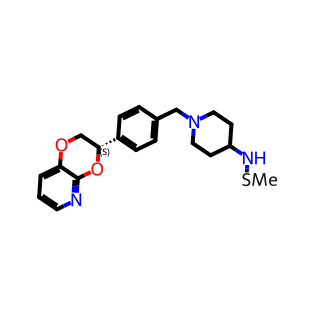 CSNC1CCN(Cc2ccc([C@H]3COc4cccnc4O3)cc2)CC1